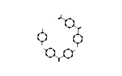 C=C(C)c1ccc(C(=O)c2ccc(Oc3ccc(C(=O)c4ccc(Oc5ccc(C)cc5)cc4)cc3)cc2)cc1